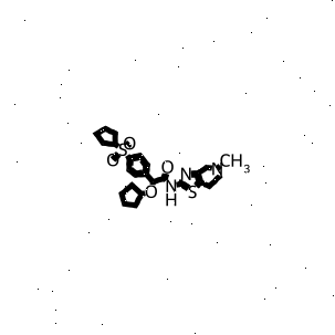 CN1CCc2sc(NC(=O)C(OC3CCCC3)c3ccc(S(=O)(=O)C4CCCC4)cc3)nc2C1